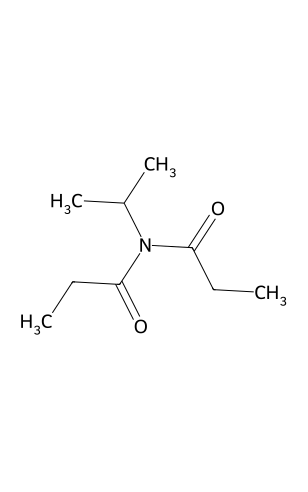 CCC(=O)N(C(=O)CC)C(C)C